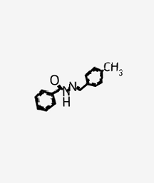 Cc1ccc(C=NNC(=O)c2ccccc2)cc1